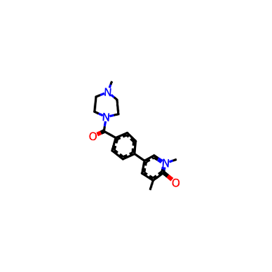 Cc1cc(-c2ccc(C(=O)N3CCN(C)CC3)cc2)cn(C)c1=O